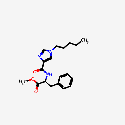 CCCCCn1cnc(C(=O)N[C@@H](Cc2ccccc2)C(=O)OC)c1